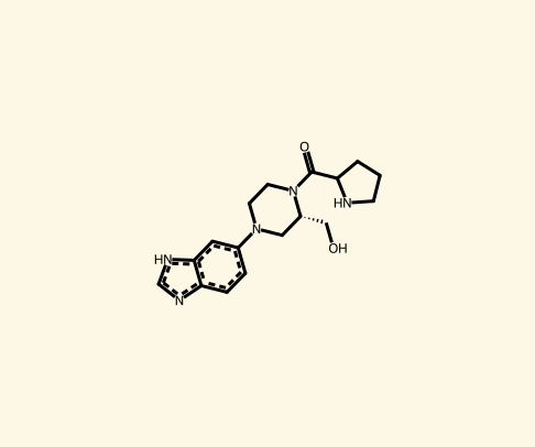 O=C(C1CCCN1)N1CCN(c2ccc3nc[nH]c3c2)C[C@H]1CO